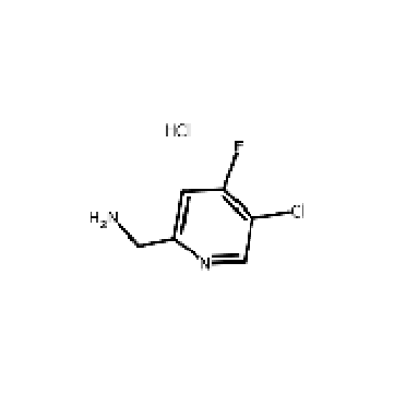 Cl.NCc1cc(F)c(Cl)cn1